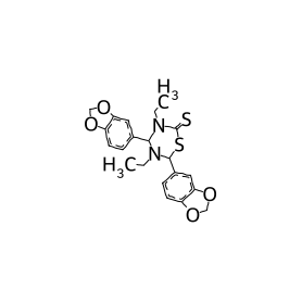 CCN1C(=S)SC(c2ccc3c(c2)OCO3)N(CC)C1c1ccc2c(c1)OCO2